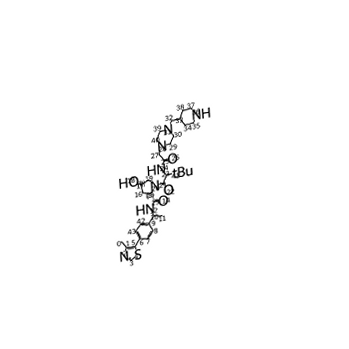 Cc1ncsc1-c1ccc(C(C)NC(=O)[C@@H]2C[C@@H](O)CN2C(=O)C(NC(=O)CN2CCN(CC3CCNCC3)CC2)C(C)(C)C)cc1